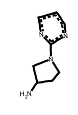 NC1CCN(c2ncccn2)C1